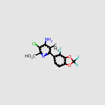 Cc1c(-c2ccc3c(c2F)OC(F)(F)O3)nc(C(=O)O)c(Cl)c1N